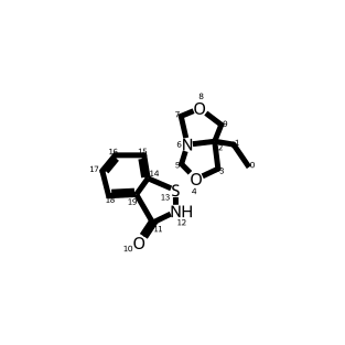 CCC12COCN1COC2.O=c1[nH]sc2ccccc12